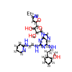 CCc1cc([C@H]2O[C@@H](n3cnc4c(N[C@H](CO)Cc5ccccc5)nc(NCCNc5ccccn5)nc43)[C@H](O)[C@@H]2O)on1